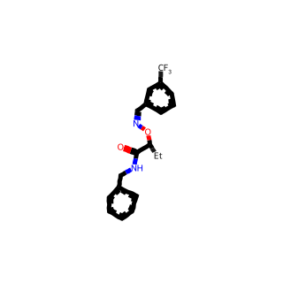 CCC(O/N=C\c1cccc(C(F)(F)F)c1)C(=O)NCc1ccccc1